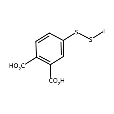 O=C(O)c1ccc(SSI)cc1C(=O)O